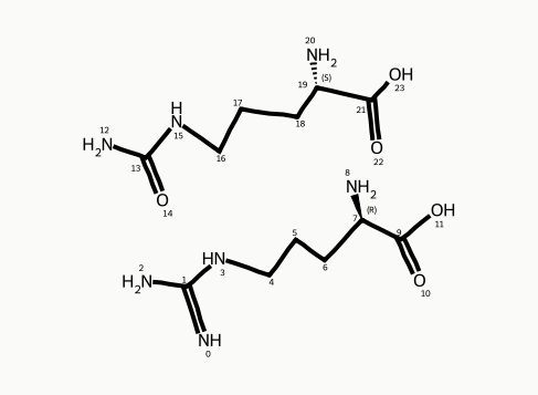 N=C(N)NCCC[C@@H](N)C(=O)O.NC(=O)NCCC[C@H](N)C(=O)O